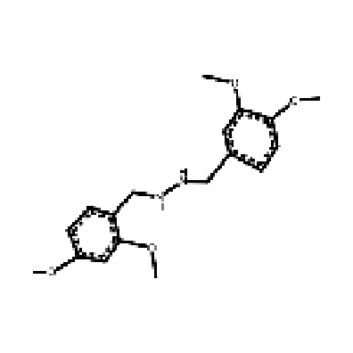 COc1ccc(CNNCc2ccc(OC)c(OC)c2)c(OC)c1